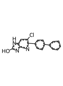 Oc1nc2nc(-c3ccc(-c4ccccc4)cc3)c(Cl)cc2[nH]1